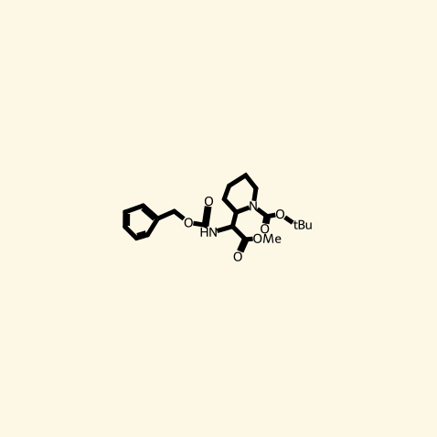 COC(=O)C(NC(=O)OCc1ccccc1)C1CCCCN1C(=O)OC(C)(C)C